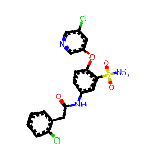 NS(=O)(=O)c1cc(NC(=O)Cc2ccccc2Cl)ccc1Oc1cncc(Cl)c1